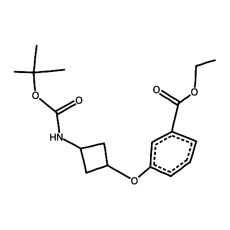 CCOC(=O)c1cccc(OC2CC(NC(=O)OC(C)(C)C)C2)c1